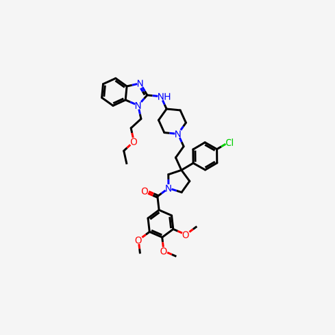 CCOCCn1c(NC2CCN(CCC3(c4ccc(Cl)cc4)CCN(C(=O)c4cc(OC)c(OC)c(OC)c4)C3)CC2)nc2ccccc21